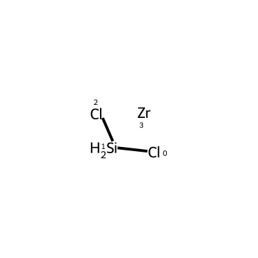 Cl[SiH2]Cl.[Zr]